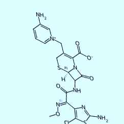 CO/N=C(/C(=O)NC1C(=O)N2C(C(=O)[O-])=C(C[n+]3cccc(N)c3)CS[C@H]12)c1nc(N)sc1Cl